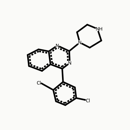 Clc1ccc(Cl)c(-c2nc(N3CCNCC3)nc3ccccc23)c1